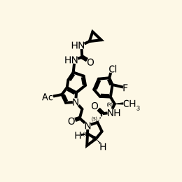 CC(=O)c1cn(CC(=O)N2[C@H](C(=O)N[C@H](C)c3cccc(Cl)c3F)C[C@H]3C[C@@H]32)c2ccc(NC(=O)NC3CC3)cc12